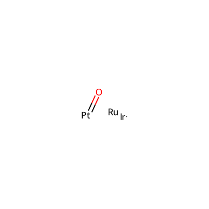 [Ir].[O]=[Pt].[Ru]